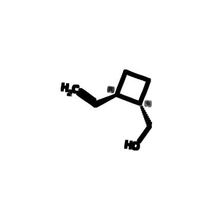 C=C[C@H]1CC[C@@H]1CO